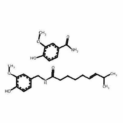 COc1cc(C(N)=O)ccc1O.COc1cc(CNC(=O)CCCCC=CC(C)C)ccc1O